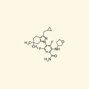 CC1(C)CCc2c(CC3CC3)nn(-c3c(F)cc(C(N)=O)c(NC4CCOC4)c3F)c2C1